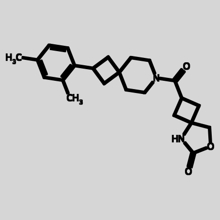 Cc1ccc(C2CC3(CCN(C(=O)C4CC5(COC(=O)N5)C4)CC3)C2)c(C)c1